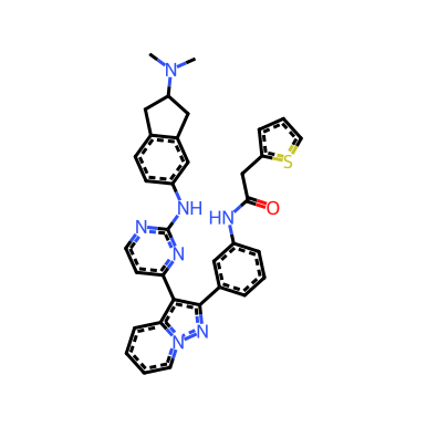 CN(C)C1Cc2ccc(Nc3nccc(-c4c(-c5cccc(NC(=O)Cc6cccs6)c5)nn5ccccc45)n3)cc2C1